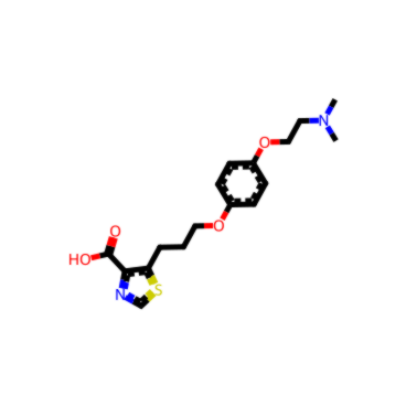 CN(C)CCOc1ccc(OCCCc2scnc2C(=O)O)cc1